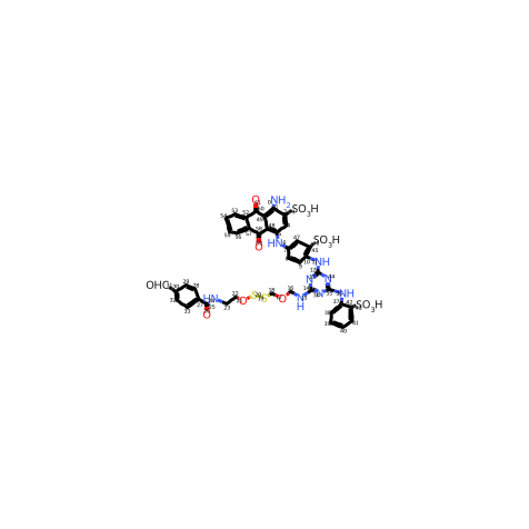 Nc1c(S(=O)(=O)O)cc(Nc2ccc(Nc3nc(NCOCSSOCCNC(=O)c4ccc(C=O)cc4)nc(Nc4ccccc4S(=O)(=O)O)n3)c(S(=O)(=O)O)c2)c2c1C(=O)c1ccccc1C2=O